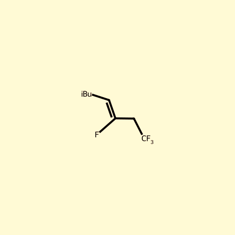 CCC(C)/C=C(\F)CC(F)(F)F